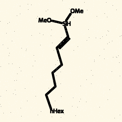 CCCCCCCCCCC=C[SiH](OC)OC